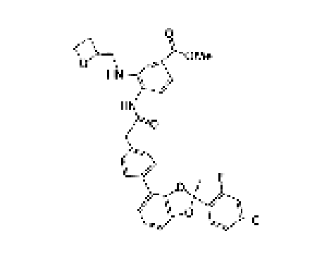 COC(=O)c1ccc(NC(=O)Cc2ccc(-c3cccc4c3OC(C)(c3ccc(Cl)cc3F)O4)cc2)c(NC[C@@H]2CCO2)c1